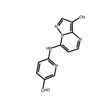 N#Cc1cnn2c(Nc3ccc(C=O)cn3)ccnc12